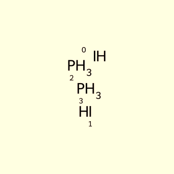 I.I.P.P